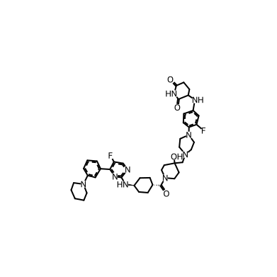 O=C1CCC(Nc2ccc(N3CCN(CC4(O)CCN(C(=O)[C@H]5CC[C@H](Nc6ncc(F)c(-c7cccc(N8CCCCC8)c7)n6)CC5)CC4)CC3)c(F)c2)C(=O)N1